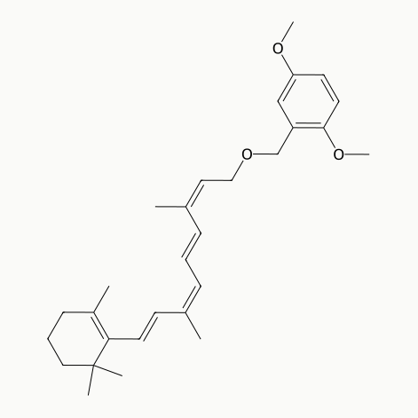 COc1ccc(OC)c(COCC=C(C)C=CC=C(C)C=CC2=C(C)CCCC2(C)C)c1